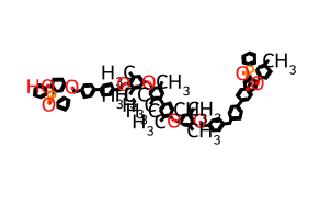 Cc1ccc(OCc2ccc(-c3ccc(Cc4ccc(COc5c(C)cc(Oc6c(C)cc(-c7cc(C)c(Oc8cc(C)c(OCc9ccc(-c%10ccc(COc%11ccc(O)c(P(=O)(c%12ccccc%12)c%12ccccc%12)c%11)cc%10)cc9)c(C)c8)c(C)c7C)c(C)c6C)cc5C)cc4)cc3)cc2)c(P(=O)(c2ccccc2)c2ccccc2)c1